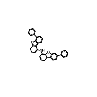 C1=CC(NC2=CCCc3oc4c(-c5ccccc5)cccc4c32)=C2Oc3cc(-c4ccccc4)ccc3C2C1